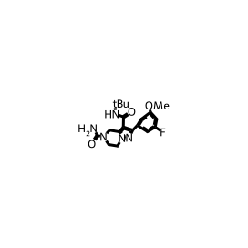 COc1cc(F)cc(-c2nn3c(c2C(=O)NC(C)(C)C)CN(C(N)=O)CC3)c1